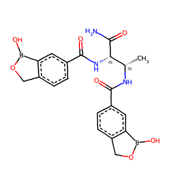 C[C@H](NC(=O)c1ccc2c(c1)B(O)OC2)[C@H](NC(=O)c1ccc2c(c1)B(O)OC2)C(N)=O